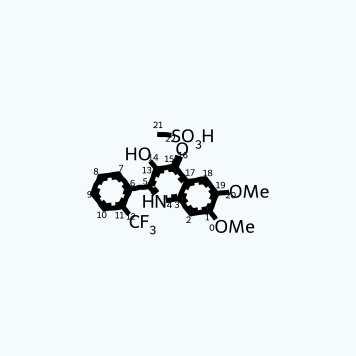 COc1cc2[nH]c(-c3ccccc3C(F)(F)F)c(O)c(=O)c2cc1OC.CS(=O)(=O)O